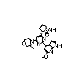 COc1cc(-c2nc([C@H]3CCCS3(=N)=O)cc(N3CCOC[C@H]3C)n2)c2cc[nH]c2n1